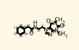 Cn1c(=O)c2c(ncn2CCNC(=O)Cc2ccccc2)n(C)c1=O